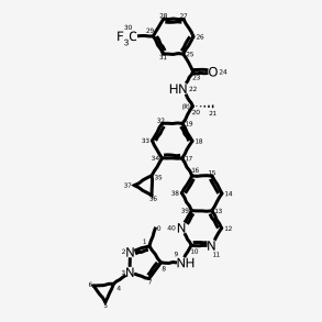 Cc1nn(C2CC2)cc1Nc1ncc2ccc(-c3cc([C@@H](C)NC(=O)c4cccc(C(F)(F)F)c4)ccc3C3CC3)cc2n1